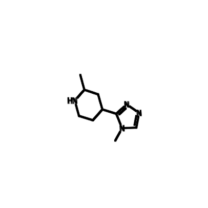 CC1CC(c2nncn2C)CCN1